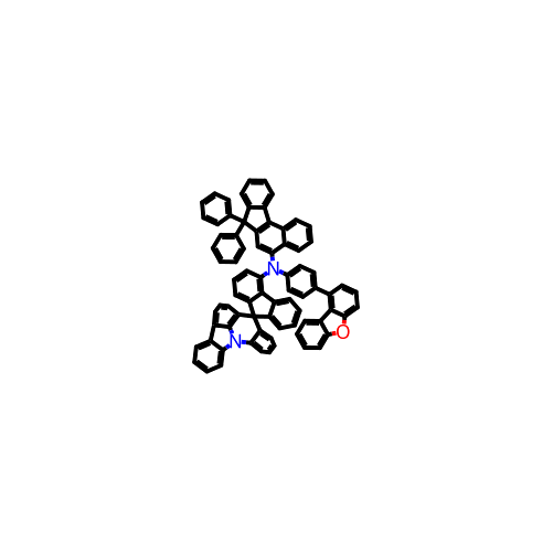 c1ccc(C2(c3ccccc3)c3ccccc3-c3c2cc(N(c2ccc(-c4cccc5oc6ccccc6c45)cc2)c2cccc4c2-c2ccccc2C42c4ccccc4-n4c5ccccc5c5cccc2c54)c2ccccc32)cc1